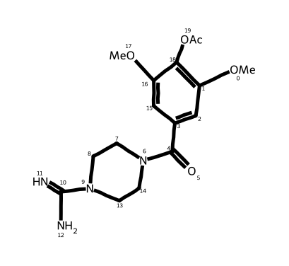 COc1cc(C(=O)N2CCN(C(=N)N)CC2)cc(OC)c1OC(C)=O